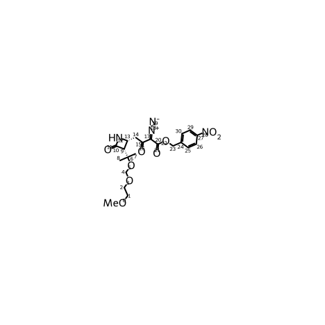 COCCOCOC(C)(C)[C@@H]1C(=O)N[C@@H]1CC(=O)C(=[N+]=[N-])C(=O)OCc1ccc([N+](=O)[O-])cc1